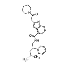 CC(C)CC(CNC(=O)c1cccc2nc(CC(=O)N3CCCCC3)cn12)c1ccccc1